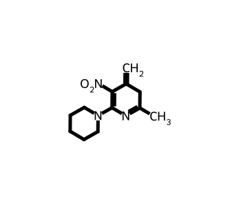 C=C1CC(C)=NC(N2CCCCC2)=C1[N+](=O)[O-]